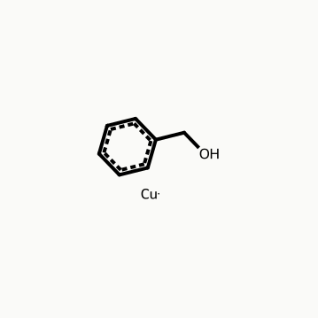 OCc1ccccc1.[Cu]